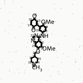 COc1cc2c(Nc3ccc(OC)c(C4=CC(=O)C=CC4=O)c3)ncnc2cc1OCC1CCN(C)CC1